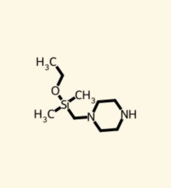 CCO[Si](C)(C)CN1CCNCC1